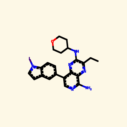 CCc1nc2c(N)ncc(-c3ccc4c(ccn4I)c3)c2nc1NC1CCOCC1